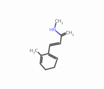 C=C(/C=C/C1=CCCC=C1C)NC